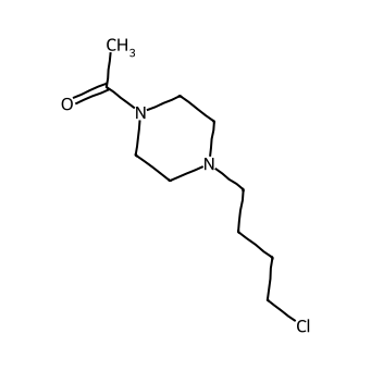 CC(=O)N1CCN(CCCCCl)CC1